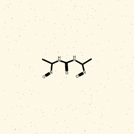 CC(N=O)NC(=O)NC(C)N=O